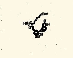 CCCCCCCCCCCCCCCCC(C(=O)O)C(=O)CCc1cc(C(C)(C)C)c(O)c(C(C)(C)C)c1.O=C1Cc2ccccc2N1